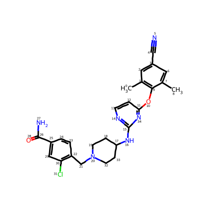 Cc1cc(C#N)cc(C)c1Oc1ccnc(NC2CCN(Cc3ccc(C(N)=O)cc3Cl)CC2)n1